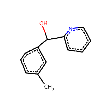 Cc1cccc(C(O)c2ccccn2)c1